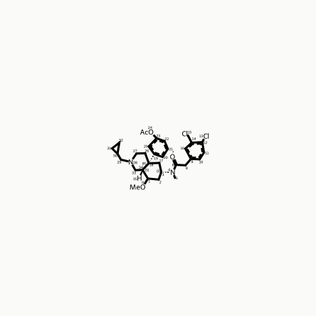 COC1C[C@@H](N(C)C(=O)Cc2ccc(Cl)c(Cl)c2)C[C@]2(c3cccc(OC(C)=O)c3)CCN(CC3CC3)C[C@@H]12